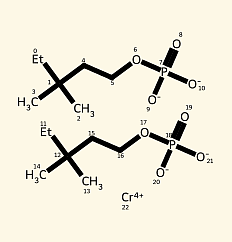 CCC(C)(C)CCOP(=O)([O-])[O-].CCC(C)(C)CCOP(=O)([O-])[O-].[Cr+4]